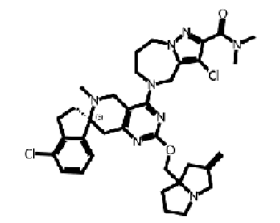 C=C1CN2CCCC2(COc2nc3c(c(N4CCCn5nc(C(=O)N(C)C)c(Cl)c5C4)n2)CN(C)[C@@]2(CCc4c(Cl)cccc42)C3)C1